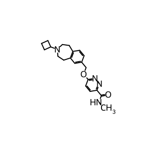 CNC(=O)c1ccc(OCc2ccc3c(c2)CCN(C2CCC2)CC3)nn1